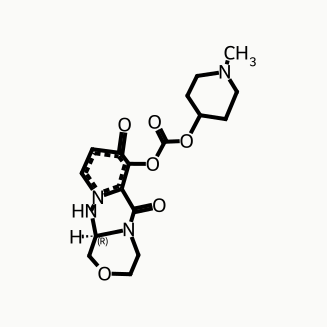 CN1CCC(OC(=O)Oc2c3n(ccc2=O)N[C@@H]2COCCN2C3=O)CC1